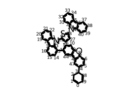 C1=CCC(c2ccc3oc4ccc(-c5cccc6c7ccccc7n(-c7ccc(-n8c9ccccc9c9ccccc98)s7)c56)cc4c3c2)C=C1